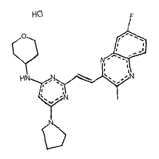 Cc1nc2ccc(F)cc2nc1/C=C/c1nc(NC2CCOCC2)cc(N2CCCC2)n1.Cl